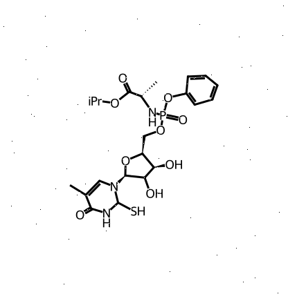 CC1=CN([C@H]2O[C@@H](COP(=O)(N[C@@H](C)C(=O)OC(C)C)Oc3ccccc3)[C@@H](O)C2O)C(S)NC1=O